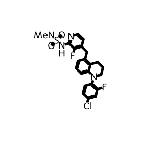 CNS(=O)(=O)Nc1nccc(Cc2cccc3c2CCCN3c2ccc(Cl)cc2F)c1F